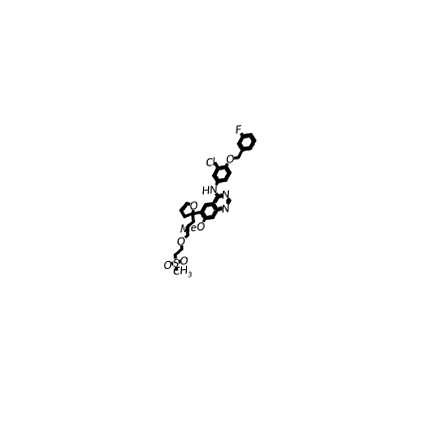 COc1cc2ncnc(Nc3ccc(OCc4cccc(F)c4)c(Cl)c3)c2cc1C1(CCCOCCS(C)(=O)=O)CC=CO1